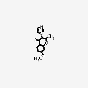 COc1ccc2c(c1)OC(C)C(n1ccnc1)C2=O